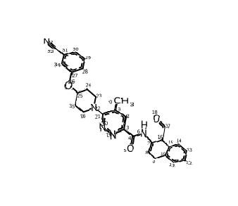 Cc1cc(C(=O)NC2=CCc3ccccc3C2C=O)nnc1N1CCC(Oc2cccc(C#N)c2)CC1